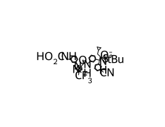 CC(C)(C)[S@@+]([O-])NC(CCC1CC1)(c1cccc(C#N)c1)c1cccc(NC(=O)c2cc(C(F)(F)F)nn2-c2cccc(CNC(=O)O)c2)c1